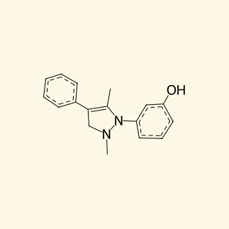 CC1=C(c2ccccc2)CN(C)N1c1cccc(O)c1